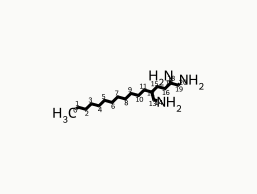 CCCCCCCCCCCCC(CN)CCC(N)CN